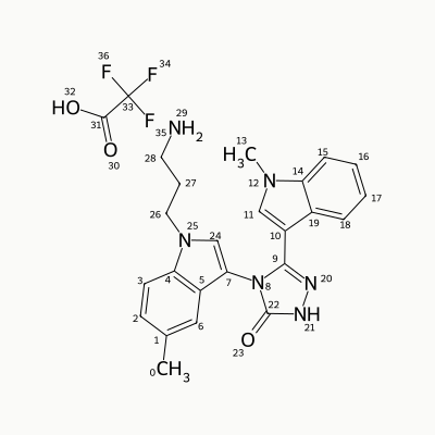 Cc1ccc2c(c1)c(-n1c(-c3cn(C)c4ccccc34)n[nH]c1=O)cn2CCCN.O=C(O)C(F)(F)F